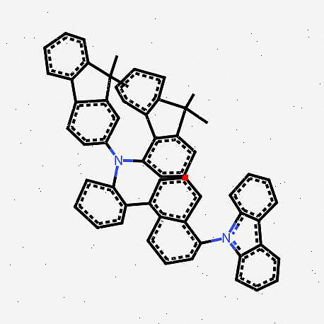 CC1(C)c2ccccc2-c2ccc(N(c3ccccc3-c3cccc4c(-n5c6ccccc6c6ccccc65)cccc34)c3cccc4c3-c3ccccc3C4(C)C)cc21